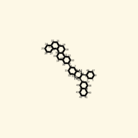 c1ccc(-c2nc3cc(-c4ccc5c(ccc6c5ccc5ccc7ccccc7c56)c4)ccc3nc2-c2ccc3ccccc3c2)cc1